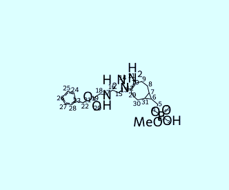 COP(=O)(O)OCC1C2CC/C(N)=C(/N(N)CCNCC(=O)OCc3ccccc3)CCC21